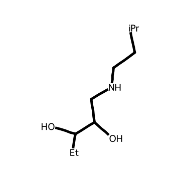 CCC(O)C(O)CNCCC(C)C